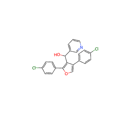 OC(c1cccnc1)c1c(-c2ccc(Cl)cc2)coc1-c1ccc(Cl)cc1